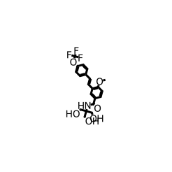 COc1ccc(C(=O)NC(CO)(CO)CO)cc1C=Cc1ccc(OC(F)(F)F)cc1